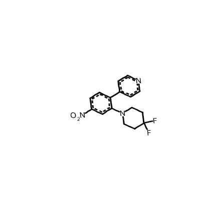 O=[N+]([O-])c1ccc(-c2ccncc2)c(N2CCC(F)(F)CC2)c1